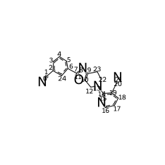 N#Cc1cccc(-c2nc3c(o2)CN(c2ncccc2C#N)CC3)c1